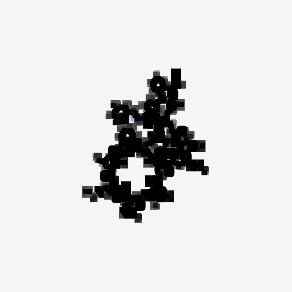 CNC(=O)c1ccccc1Sc1ccc2c(/C=C/c3ccccn3)nn(C(=O)N(CCO)CCC(=O)N[C@H](C(=O)N[C@H](CCN)C(=O)N[C@H]3CCNC(=O)[C@@H]([C@@H](C)O)NC(=O)[C@@H](CCN)NC(=O)[C@@H](CCN)NC(=O)[C@@H](CC(C)C)NC(=O)[C@@H](Cc4ccccc4)NC(=O)[C@@H](CCN)NC3=O)[C@@H](C)O)c2c1